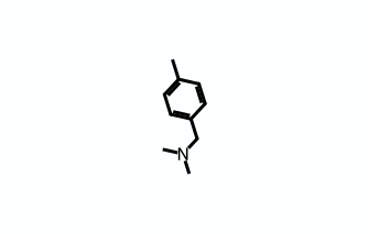 Cc1ccc(CN(C)C)cc1